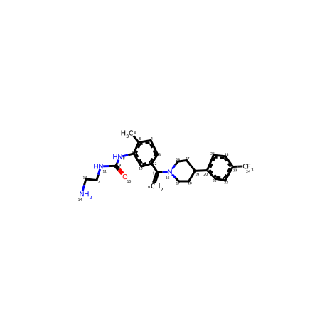 C=C(c1ccc(C)c(NC(=O)NCCN)c1)N1CCC(c2ccc(C(F)(F)F)cc2)CC1